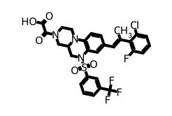 C/C(=C\c1ccc2c(c1)N(S(=O)(=O)c1cccc(C(F)(F)F)c1)CC1CN(C(=O)C(=O)O)CCN21)c1c(F)cccc1Cl